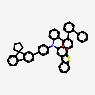 c1ccc(-c2ccccc2-c2ccccc2-c2ccccc2N(c2ccc(-c3ccc4c(c3)C3(CCCC3)c3ccccc3-4)cc2)c2ccc3sc4ccccc4c3c2)cc1